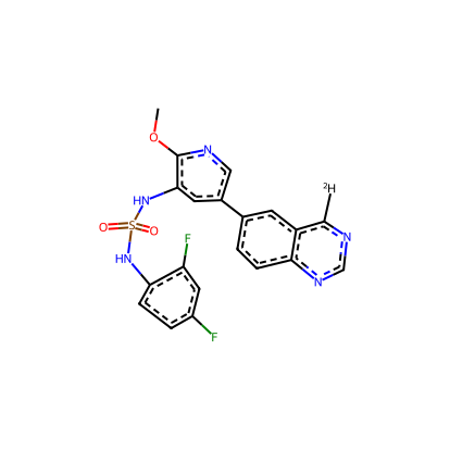 [2H]c1ncnc2ccc(-c3cnc(OC)c(NS(=O)(=O)Nc4ccc(F)cc4F)c3)cc12